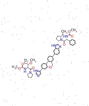 CC[C@@H]1CC[C@@H](c2nc3ccc(-c4ccc5c(c4)COc4cc(-c6cnc([C@@H]7CCCN7C(=O)C(NC(=O)OC)[C@@H](C)OC)[nH]6)ccc4-5)cc3[nH]2)N1C(=O)[C@H](NC(=O)OC)c1ccccc1